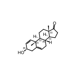 C[C@]12C=C[C@H](O)CC1=CC[C@@H]1[C@@H]2CC[C@]2(C)C(=O)CC[C@@H]12